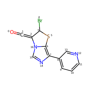 O=C=C1C(Br)Sc2c(-c3cccnc3)ncn21